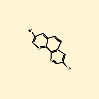 N#Cc1cnc2c(ccc3cc(C#N)cnc32)c1